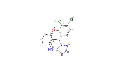 O=C1CCCC2=C1C(c1ccc(Cl)c(Cl)c1)n1nccc1N2